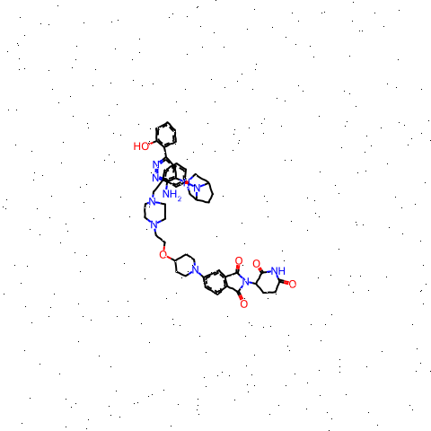 Nc1nnc(-c2ccccc2O)cc1N1CC2CCC(C1)N2c1cccc(CN2CCN(CCOC3CCN(c4ccc5c(c4)C(=O)N(C4CCC(=O)NC4=O)C5=O)CC3)CC2)c1